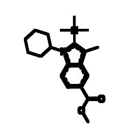 COC(=O)c1ccc2c(c1)c(C)c([Si](C)(C)C)n2C1CCCCC1